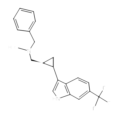 CN(Cc1ccccc1)C[C@H]1CC1c1c[nH]c2cc(C(F)(F)F)ccc12